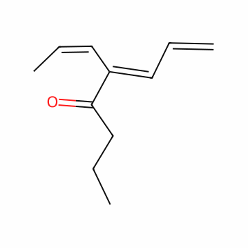 C=C/C=C(\C=C/C)C(=O)CCC